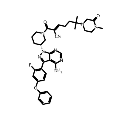 CN1CCN(C(C)(C)CC/C=C(\C#N)C(=O)N2CCC[C@@H](n3nc(-c4ccc(Oc5ccccc5)cc4F)c4c(N)ncnc43)C2)CC1=O